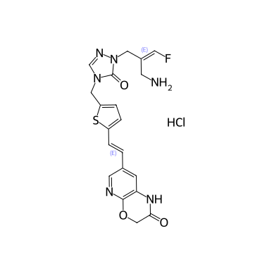 Cl.NC/C(=C\F)Cn1ncn(Cc2ccc(/C=C/c3cnc4c(c3)NC(=O)CO4)s2)c1=O